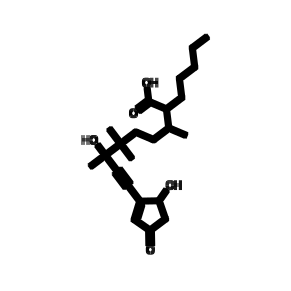 CCCCCC(C(=O)O)C(C)CCC(C)(C)C(C)(O)C#CC1=CC(=O)CC1O